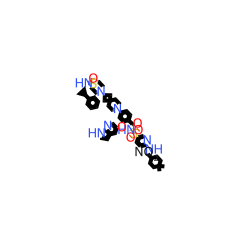 CC1(C)CCC(CNc2ncc(S(=O)(=O)NC(=O)c3ccc(N4CCC5(CC4)CC(N4CCS(=N)(=O)C[C@H]4c4ccccc4C4CC4)C5)cc3Oc3cnc4[nH]ccc4c3)cc2[N+](=O)[O-])CC1